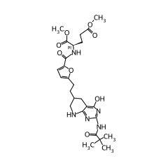 COC(=O)CC[C@@H](NC(=O)c1ccc(CCC2CNc3nc(NC(=O)C(C)(C)C)nc(O)c3C2)o1)C(=O)OC